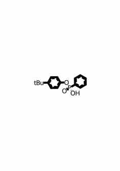 CC(C)(C)c1ccc(OP(=O)(O)c2ccccc2)cc1